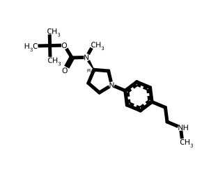 CNCCc1ccc(N2CC[C@@H](N(C)C(=O)OC(C)(C)C)C2)cc1